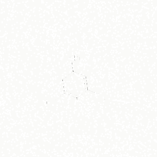 CCCCc1cc(C)cc([C](C)C)c1